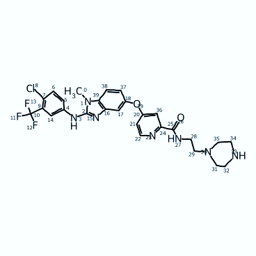 Cn1c(Nc2ccc(Cl)c(C(F)(F)F)c2)nc2cc(Oc3ccnc(C(=O)NCCN4CCNCC4)c3)ccc21